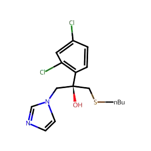 CCCCSC[C@](O)(Cn1ccnc1)c1ccc(Cl)cc1Cl